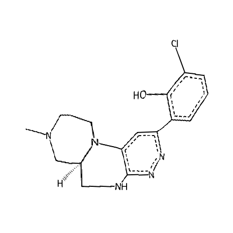 CN1CCN2c3cc(-c4cccc(Cl)c4O)nnc3NC[C@H]2C1